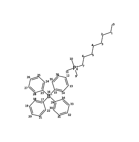 CCCCCCCC[P+](C)(C)C.c1ccc([B-](c2ccccc2)(c2ccccc2)c2ccccc2)cc1